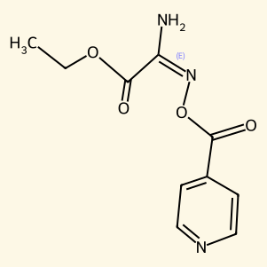 CCOC(=O)/C(N)=N\OC(=O)c1ccncc1